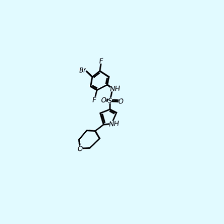 O=S(=O)(Nc1cc(F)c(Br)cc1F)c1c[nH]c(C2CCOCC2)c1